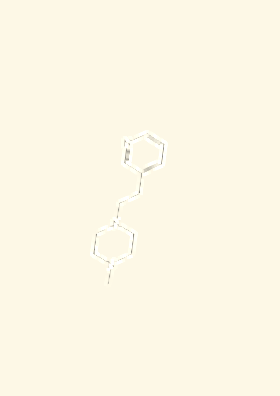 CN1CCN(CCc2cccnc2)CC1